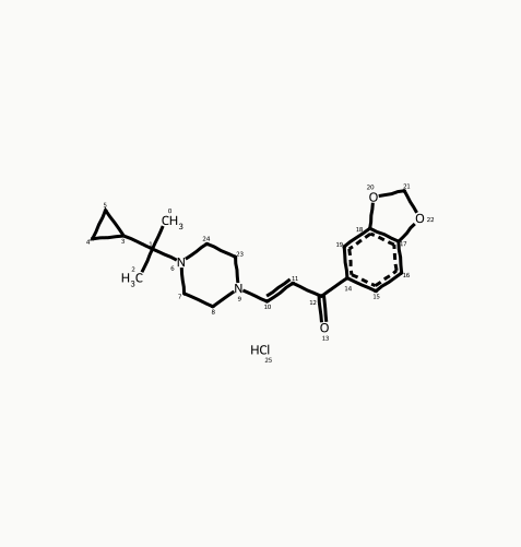 CC(C)(C1CC1)N1CCN(C=CC(=O)c2ccc3c(c2)OCO3)CC1.Cl